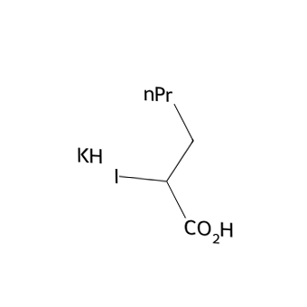 CCCCC(I)C(=O)O.[KH]